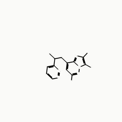 Cc1nc2c(CC(C)c3cccnn3)cc(Cl)nn2c1S